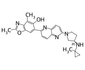 Cc1nc2c(C)c(O)c(-c3ccc4nc(N5CC[C@@H](NC6(C)CC6)C5)ccc4n3)cc2o1